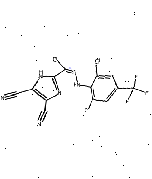 N#Cc1nc(/C(Cl)=N\Nc2c(Cl)cc(C(F)(F)F)cc2Cl)[nH]c1C#N